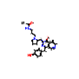 CC(C)(C)C(=O)NCCCN1CCCC1Cn1nc(Cc2ccc(O)cc2)c2cnccc2c1=O